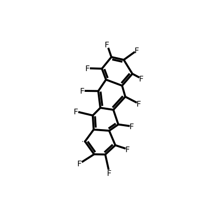 Fc1[c]c2c(F)c3c(F)c4c(F)c(F)c(F)c(F)c4c(F)c3c(F)c2c(F)c1F